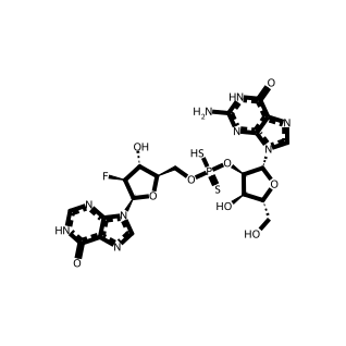 Nc1nc2c(ncn2[C@@H]2O[C@H](CO)[C@@H](O)[C@H]2OP(=S)(S)OC[C@H]2O[C@@H](n3cnc4c(=O)[nH]cnc43)[C@@H](F)[C@@H]2O)c(=O)[nH]1